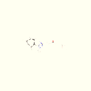 Cn1nc(OCC(=O)OCC2OCCO2)nc1-c1ccc(F)cc1F